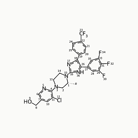 C[C@@H]1CN(c2ncc(CO)cc2Cl)CCN1c1nc(-c2ccc(C(F)(F)F)cc2)c(-c2cc(F)c(F)c(F)c2)[nH]1